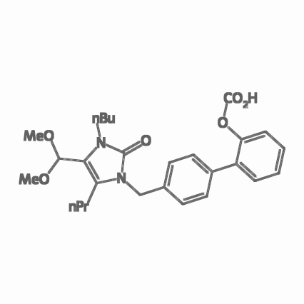 CCCCn1c(C(OC)OC)c(CCC)n(Cc2ccc(-c3ccccc3OC(=O)O)cc2)c1=O